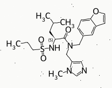 CCCS(=O)(=O)N[C@@H](CC(C)C)C(=O)N(Cc1ccc2occc2c1)Cc1cncn1C